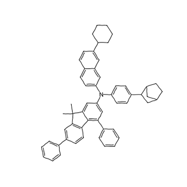 CC1(C)c2cc(-c3ccccc3)ccc2-c2c(-c3ccccc3)cc(N(c3ccc(C4CC5CCC4C5)cc3)c3ccc4ccc(C5CCCCC5)cc4c3)cc21